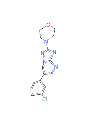 Clc1cccc(-c2cnc3nc(N4CCOCC4)nn3c2)c1